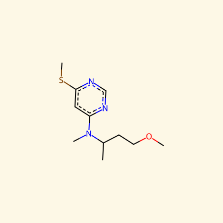 COCCC(C)N(C)c1cc(SC)ncn1